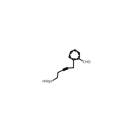 CCCCCCCCCC#CCc1ccccc1C=O